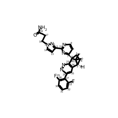 CC1(C)[C@H]2CC[C@@]1(c1ccnc(-c3ccn(CCC(N)=O)n3)n1)c1nnc(-c3c(F)cccc3F)cc12